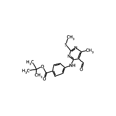 CSc1nc(C)c(C=O)c(Nc2ccc(C(=O)OC(C)(C)C)cc2)n1